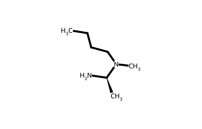 CCCCN(C)[C@@H](C)N